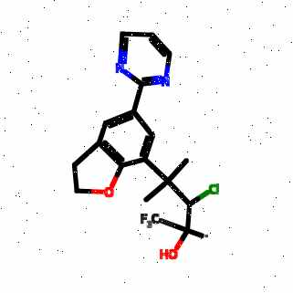 [CH2]C(O)(C(Cl)C(C)(C)c1cc(-c2ncccn2)cc2c1OCC2)C(F)(F)F